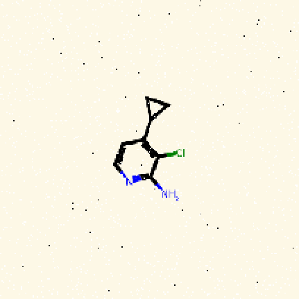 Nc1nccc(C2CC2)c1Cl